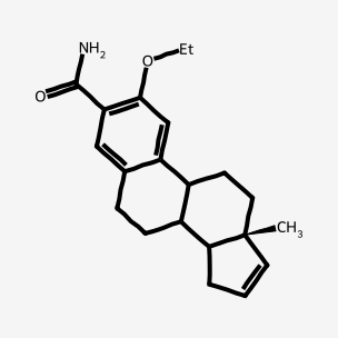 CCOc1cc2c(cc1C(N)=O)CCC1C2CC[C@]2(C)C=CCC12